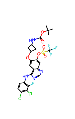 CC(C)(C)OC(=O)NC1CC(Oc2cc3c(Nc4ccc(Cl)c(Cl)c4F)ncnc3cc2OS(=O)(=O)C(F)(F)F)C1